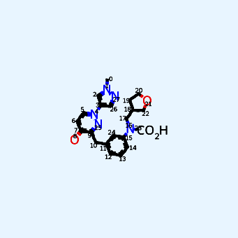 Cn1cc(-n2ccc(=O)c(Cc3cccc(N(CC4CCOC4)C(=O)O)c3)n2)cn1